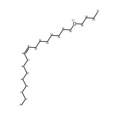 CCCCCCCC/C=C\CCCCCCCOCCCC